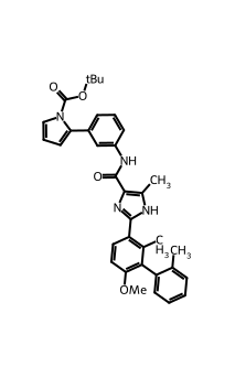 COc1ccc(-c2nc(C(=O)Nc3cccc(-c4cccn4C(=O)OC(C)(C)C)c3)c(C)[nH]2)c(C)c1-c1ccccc1C